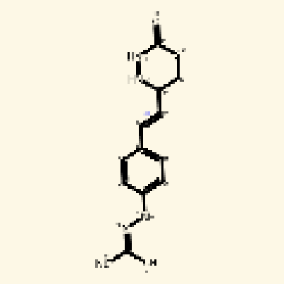 N#CC(C#N)=NNc1ccc(/C=C/C2CSC(=O)NN2)cc1